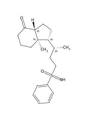 C[C@H](CCS(=N)(=O)c1ccccc1)[C@H]1CC[C@H]2C(=O)CCC[C@]12C